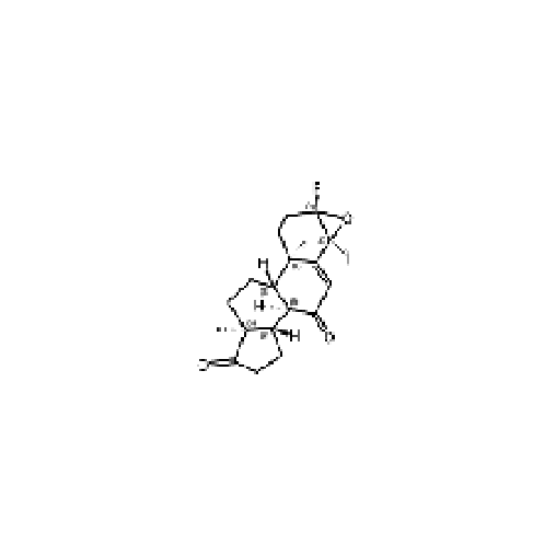 C[C@]12CC[C@]3(F)O[C@H]3C1=CC(=O)[C@@H]1[C@@H]2CC[C@]2(C)C(=O)CC[C@@H]12